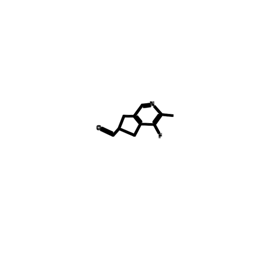 Cc1ncc2c(c1F)CC(C=O)C2